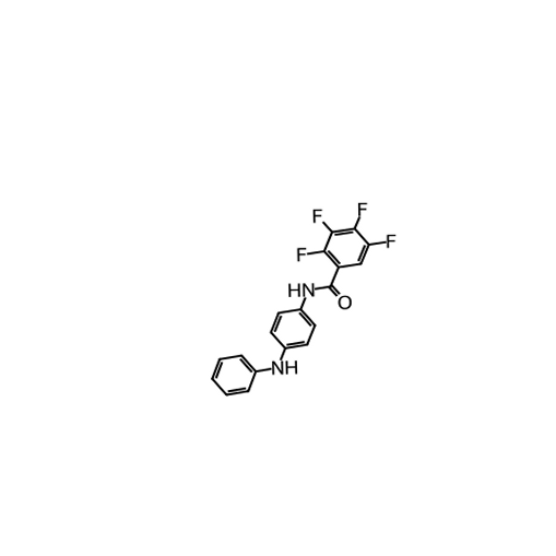 O=C(Nc1ccc(Nc2ccccc2)cc1)c1cc(F)c(F)c(F)c1F